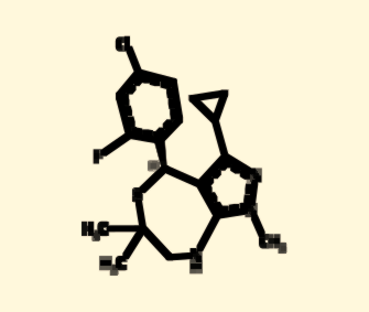 Cn1nc(C2CC2)c2c1NCC(C)(C)S[C@H]2c1ccc(Cl)cc1F